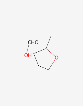 CC1CCCO1.O=CO